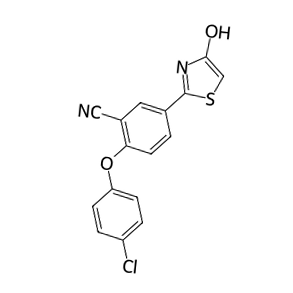 N#Cc1cc(-c2nc(O)cs2)ccc1Oc1ccc(Cl)cc1